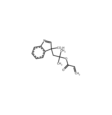 C=CC(=O)OC(C)(C)CC1(C(=O)O)C=Nc2ccccc21